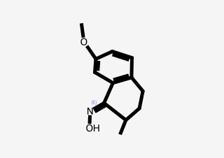 COc1ccc2c(c1)/C(=N/O)C(C)CC2